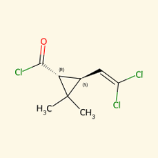 CC1(C)[C@H](C=C(Cl)Cl)[C@H]1C(=O)Cl